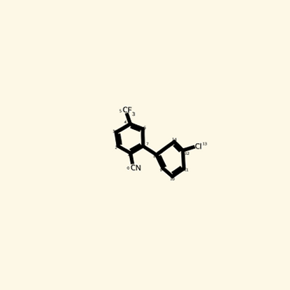 N#Cc1ccc(C(F)(F)F)cc1-c1cccc(Cl)c1